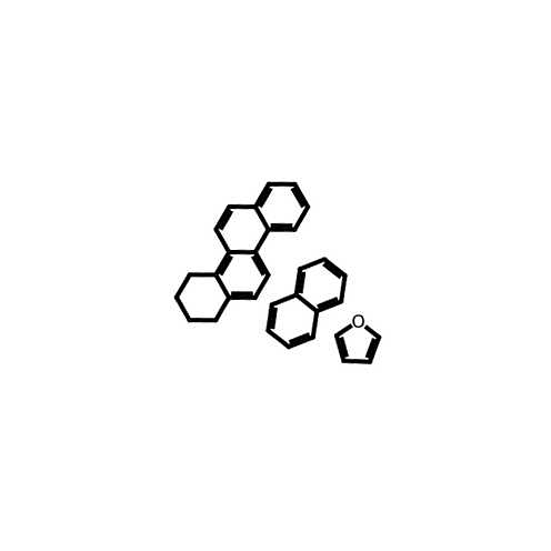 c1ccc2c(c1)ccc1c3c(ccc12)CCCC3.c1ccc2ccccc2c1.c1ccoc1